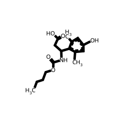 CCCCOC(=O)NC(CC(=O)O)c1c(C)cc(O)cc1C